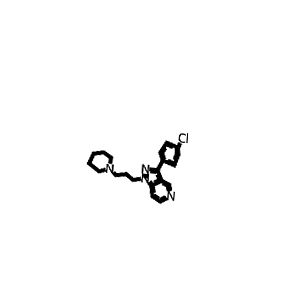 Clc1ccc(-c2nn(CCCN3CCCCC3)c3ccncc23)cc1